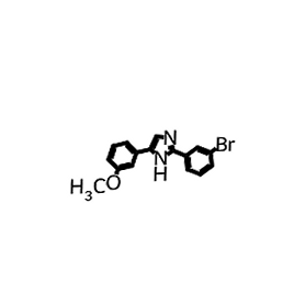 COc1cccc(-c2cnc(-c3cccc(Br)c3)[nH]2)c1